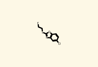 FCCSc1nc2cc(Cl)ccc2o1